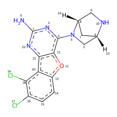 Nc1nc(N2C[C@@H]3C[C@H]2CN3)c2oc3ccc(Cl)c(Cl)c3c2n1